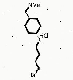 CNC[C@H]1CC[C@H](CCCCCBr)CC1.Cl